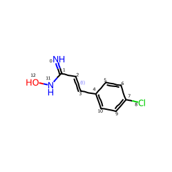 N=C(/C=C/c1ccc(Cl)cc1)NO